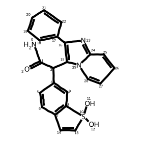 NC(=O)C(c1ccc2c(c1)S(O)(O)C=C2)c1c(-c2ccccc2)nc2ccccn12